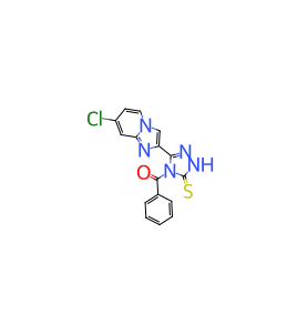 O=C(c1ccccc1)n1c(-c2cn3ccc(Cl)cc3n2)n[nH]c1=S